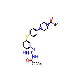 COC(=O)Nc1nc2cc(Sc3ccc(N4CCN(C(=O)C(C)C)CC4)cc3)ccc2[nH]1